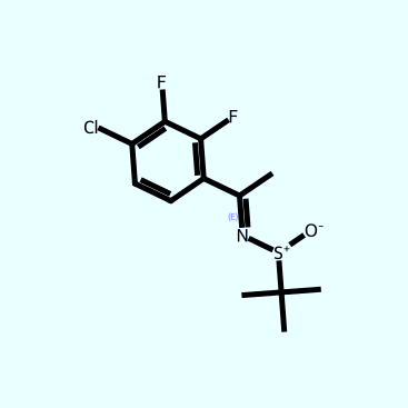 C/C(=N\[S+]([O-])C(C)(C)C)c1ccc(Cl)c(F)c1F